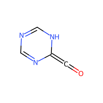 O=C=C1N=CN=CN1